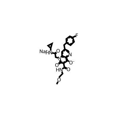 COCCNC(=O)c1c([O-])c2ncc(Cc3ccc(F)cc3)cc2n(CC(=O)NC2CC2)c1=O.[Na+]